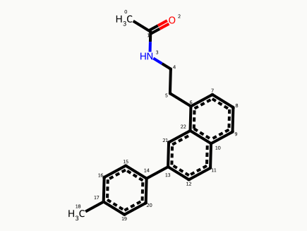 CC(=O)NCCc1cccc2ccc(-c3ccc(C)cc3)cc12